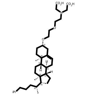 CC(C)CCC[C@@H](C)[C@H]1CC[C@H]2[C@@H]3CC=C4C[C@@H](OCCOCCN(CC(=O)O)CC(=O)O)CC[C@]4(C)[C@H]3CC[C@]12C